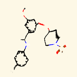 CCOc1cc(OC2CCN(S(C)(=O)=O)CC2)cc(C(Nc2ccc(C#N)cc2)C(=O)O)c1